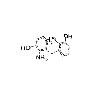 Nc1c(O)cccc1Cc1cccc(O)c1N